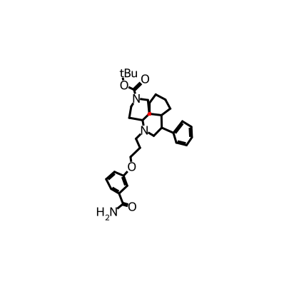 CC(C)(C)OC(=O)N1CCC(N(CCCOc2cccc(C(N)=O)c2)CC(c2ccccc2)C2CCCCC2)CC1